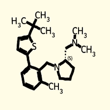 Cc1cccc(-c2ccc(C(C)(C)C)s2)c1CN1CCC[C@H]1CN(C)C